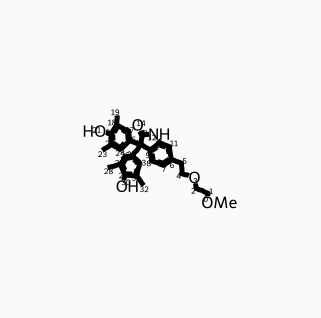 COCCOCCc1ccc2c(c1)NC(=O)C2(c1cc(C)c(O)c(C)c1)c1cc(C)c(O)c(C)c1